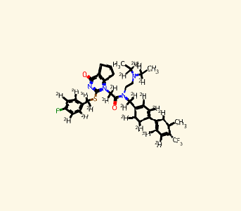 [2H]C1=C(C2=C([2H])C([2H])=C(C(F)(F)F)C(C)C2[2H])C([2H])C([2H])C(C([2H])([2H])N(CCN(C([2H])([2H])C)C([2H])([2H])C)C(=O)C([2H])([2H])n2c(SC([2H])([2H])c3c([2H])c([2H])c(F)c([2H])c3[2H])nc(=O)c3c2CCC3)=C1[2H]